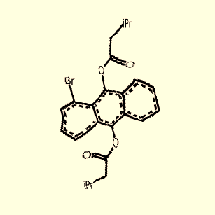 CC(C)CC(=O)Oc1c2ccccc2c(OC(=O)CC(C)C)c2c(Br)cccc12